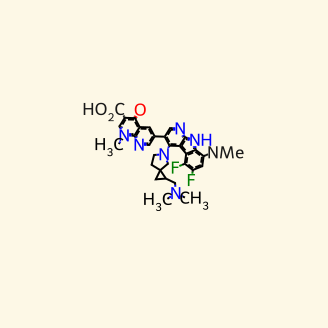 CNc1cc(F)c(F)c2c1[nH]c1ncc(-c3cnc4c(c3)c(=O)c(C(=O)O)cn4C)c(N3CCC4(CC4CN(C)C)C3)c12